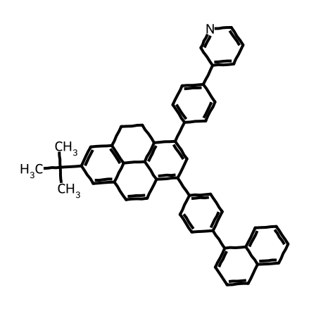 CC(C)(C)c1cc2c3c(ccc4c(-c5ccc(-c6cccc7ccccc67)cc5)cc(-c5ccc(-c6cccnc6)cc5)c(c43)CC2)c1